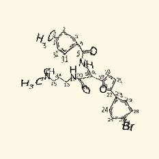 Cc1ccc(C(=O)NC=C(C(=O)NCCCN(C)C)c2ccc(-c3ccc(Br)cc3)o2)cc1